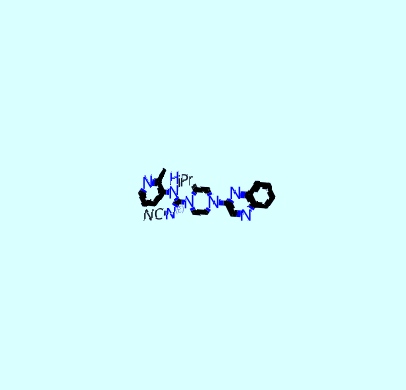 Cc1ncccc1N/C(=N\C#N)N1CCN(c2cnc3ccccc3n2)CC1C(C)C